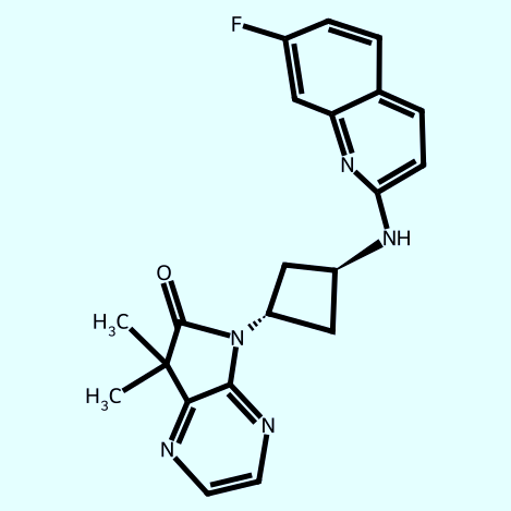 CC1(C)C(=O)N([C@H]2C[C@H](Nc3ccc4ccc(F)cc4n3)C2)c2nccnc21